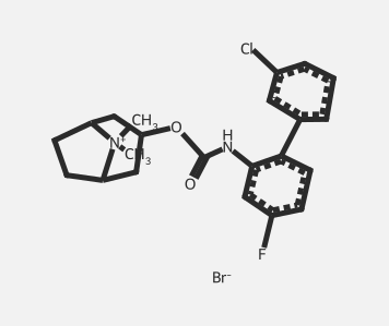 C[N+]1(C)C2CCC1CC(OC(=O)Nc1cc(F)ccc1-c1cccc(Cl)c1)C2.[Br-]